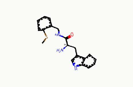 CSc1ccccc1CNC(=O)[C@H](N)Cc1c[nH]c2ccccc12